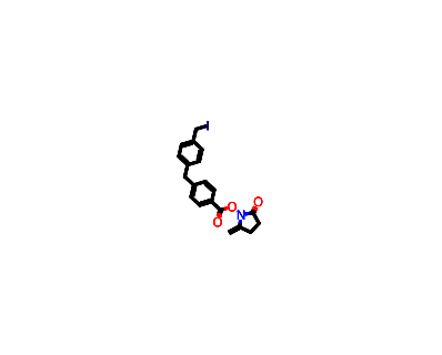 C=C1CCC(=O)N1OC(=O)c1ccc(Cc2ccc(CI)cc2)cc1